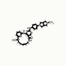 CN1CC2CN(c3ccc(Nc4ncc5c(n4)Nc4cccc(n4)C(O)CC/C=C\CNC5=O)cc3)CC2C1